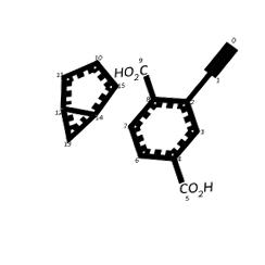 C#Cc1cc(C(=O)O)ccc1C(=O)O.c1cc2cc-2c1